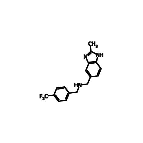 Cc1nc2cc(CNCc3ccc(C(F)(F)F)cc3)ccc2[nH]1